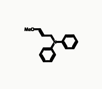 COC=CCN(c1ccccc1)c1ccccc1